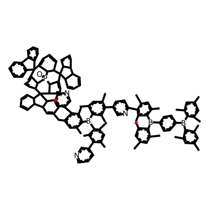 Cc1cc(C)c(B(c2ccc(B(c3c(C)cc(C)cc3C)c3c(C)cc(C)c(-c4ccc(-c5c(C)cc(C)c(B(c6c(C)cc(C)c(-c7cccnc7)c6C)c6c(C)cc(CC7=CC8C9C=CC=CC9C9(C8C=C7)C7C=CC=C8C7P7(=O)C%10C(=CC=CC%10C%10(C%11=CC=CC9C%117)C7C=CC=CC7C7C=CC=CC7%10)C87c8ccccc8-c8ccccc87)c(-c7cccnc7)c6C)c5C)cn4)c3C)cc2)c2c(C)cc(C)cc2C)c(C)c1